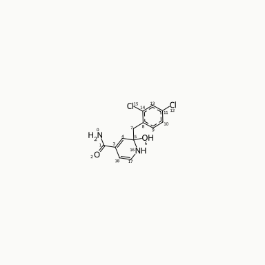 NC(=O)C1=CC(O)(Cc2ccc(Cl)cc2Cl)NC=C1